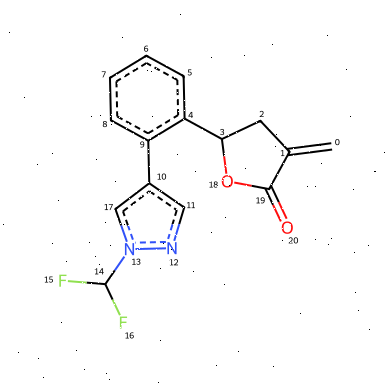 C=C1CC(c2ccccc2-c2cnn(C(F)F)c2)OC1=O